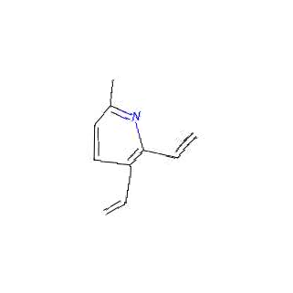 C=Cc1ccc(C)nc1C=C